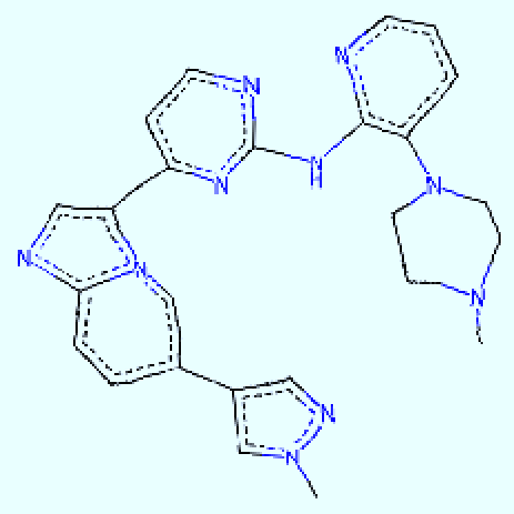 CN1CCN(c2cccnc2Nc2nccc(-c3cnc4ccc(-c5cnn(C)c5)cn34)n2)CC1